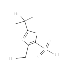 CC(C)(O)c1nc(CO)c(S(N)(=O)=O)s1